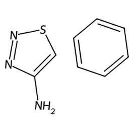 Nc1csnn1.c1ccccc1